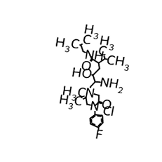 CC(C)CNC(=O)C(CC(O)C(N)CN1CC(=O)N(c2ccc(F)cc2Cl)CC1(C)C)C(C)C